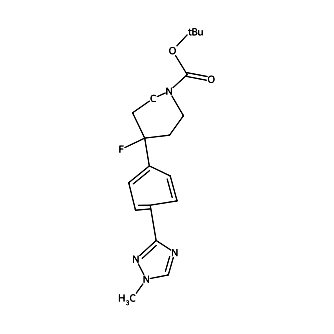 Cn1cnc(-c2ccc(C3(F)CCN(C(=O)OC(C)(C)C)CC3)cc2)n1